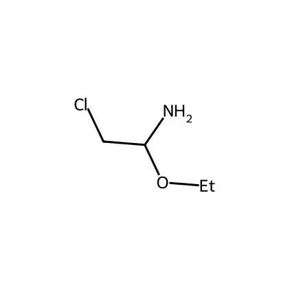 CCOC(N)CCl